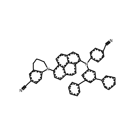 N#Cc1ccc(N(c2cc(-c3ccccc3)cc(-c3ccccc3)c2)c2ccc3ccc4c(N5CCCc6cc(C#N)ccc65)ccc5ccc2c3c54)cc1